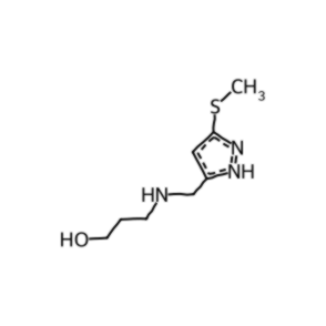 CSc1cc(CNCCCO)[nH]n1